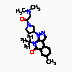 [2H]C([2H])([2H])n1c(=O)c2cc(C)ccc2c2cnn(C3CCN(C(=O)CN(C)C)C3)c21